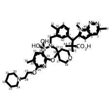 Cc1cc2cc(C(c3ccc(C)c(CN4CC5(CCOCC5)Oc5nc(OCCN6CCCCC6)c(C)cc5S4(O)O)c3)C(C)(C)C(=O)O)n(C)c2nn1